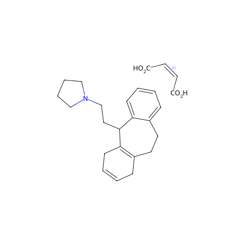 C1=CCC2=C(C1)CCc1ccccc1C2CCN1CCCC1.O=C(O)/C=C\C(=O)O